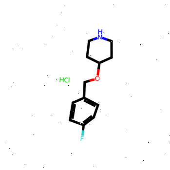 Cl.Fc1ccc(COC2CCNCC2)cc1